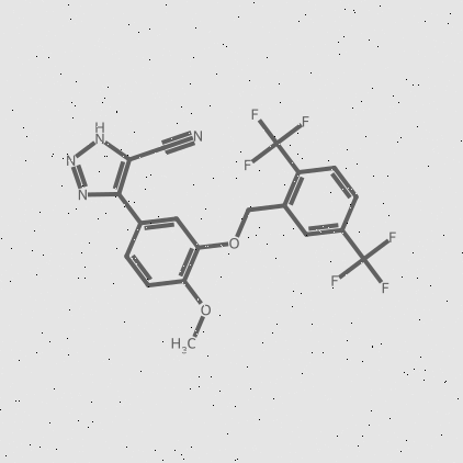 COc1ccc(-c2nn[nH]c2C#N)cc1OCc1cc(C(F)(F)F)ccc1C(F)(F)F